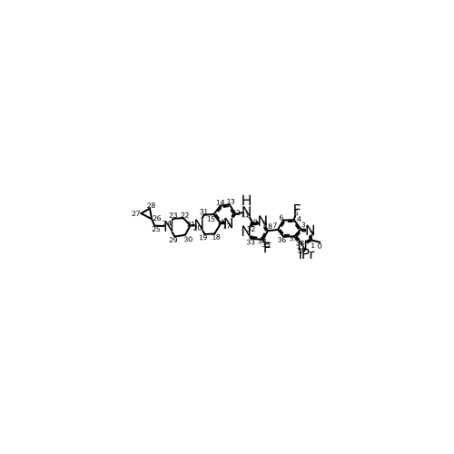 Cc1nc2c(F)cc(-c3nc(Nc4ccc5c(n4)CCN(C4CCN(CC6CC6)CC4)C5)ncc3F)cc2n1C(C)C